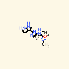 CCNC(=O)C(C)(C)Nc1ccnc(C2=CNC3NC=CC=C23)n1